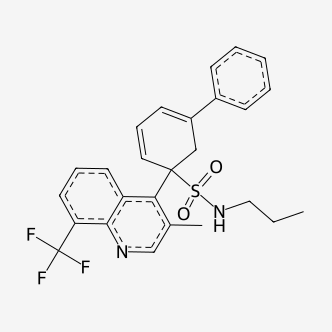 CCCNS(=O)(=O)C1(c2c(C)cnc3c(C(F)(F)F)cccc23)C=CC=C(c2ccccc2)C1